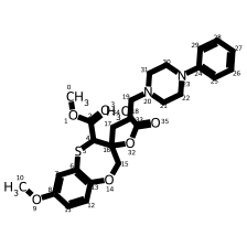 COC(=O)C1Sc2cc(OC)ccc2OCC1(CCCN1CCN(c2ccccc2)CC1)OC(C)=O